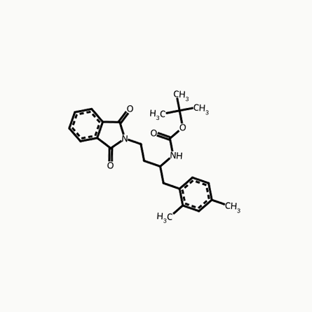 Cc1ccc(CC(CCN2C(=O)c3ccccc3C2=O)NC(=O)OC(C)(C)C)c(C)c1